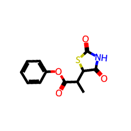 CC(C(=O)Oc1ccccc1)C1SC(=O)NC1=O